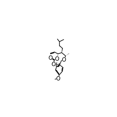 C=C[C@@H](OC(=O)O)[C@@H](CCC(C)C)[C@H](C)OCc1ccc(OC)cc1